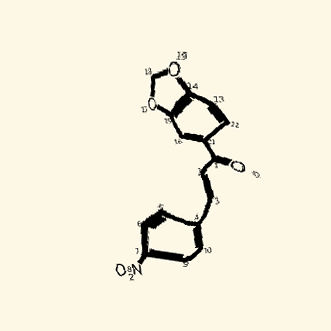 O=C(C=Cc1ccc([N+](=O)[O-])cc1)c1ccc2c(c1)OCO2